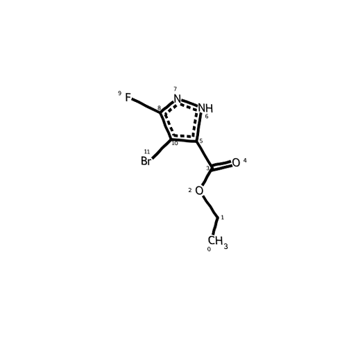 CCOC(=O)c1[nH]nc(F)c1Br